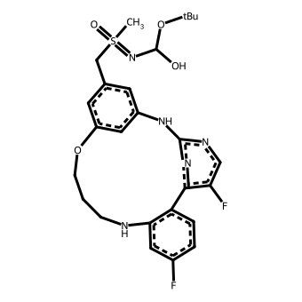 CC(C)(C)OC(O)N=S(C)(=O)Cc1cc2cc(c1)OCCCNc1cc(F)ccc1-c1nc(ncc1F)N2